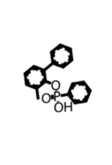 Cc1cccc(-c2ccccc2)c1OP(=O)(O)c1ccccc1